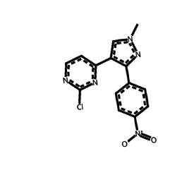 Cn1cc(-c2ccnc(Cl)n2)c(-c2ccc([N+](=O)[O-])cc2)n1